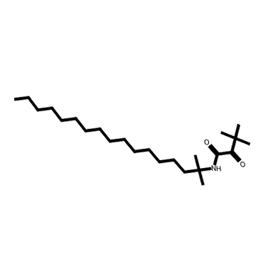 CCCCCCCCCCCCCCCC(C)(C)NC(=O)C(=O)C(C)(C)C